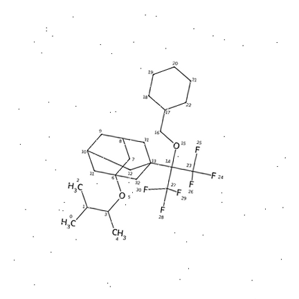 CC(C)C(C)OC12CC3CC(C1)CC(C(OCC1CCCCC1)(C(F)(F)F)C(F)(F)F)(C3)C2